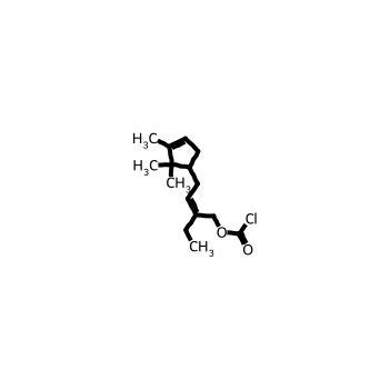 CCC(=CCC1CC=C(C)C1(C)C)COC(=O)Cl